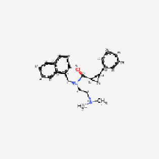 CN(C)CCN(Cc1cccc2ccccc12)C(=O)[C@@H]1CC1c1ccccc1